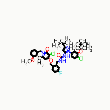 COc1cccc(Cn2c(C)cc(OCc3ccc(F)cc3CNC(=O)Nc3cc(C(C)(C)C)nn3-c3ccc(Cl)c(O[Si](C)(C)C(C)(C)C)c3)c(Cl)c2=O)c1